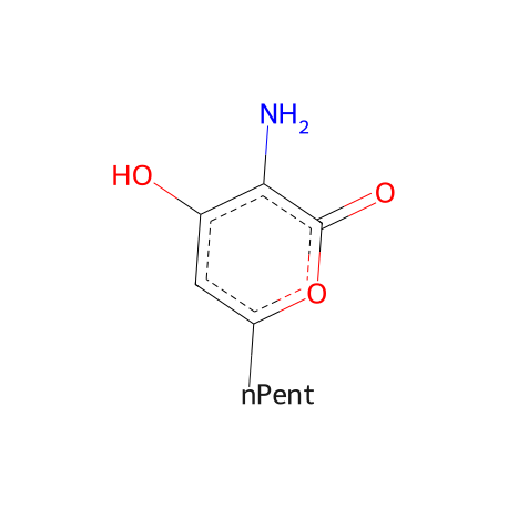 CCCCCc1cc(O)c(N)c(=O)o1